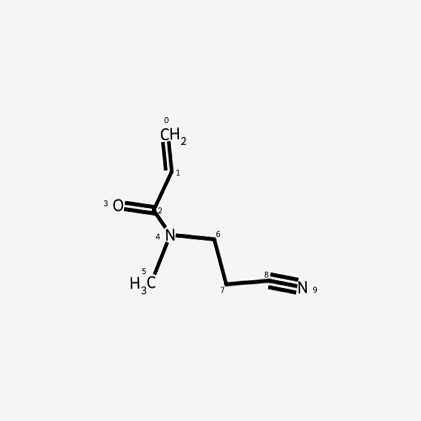 C=CC(=O)N(C)CCC#N